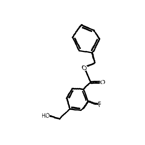 O=C(OCc1ccccc1)c1ccc(CO)cc1F